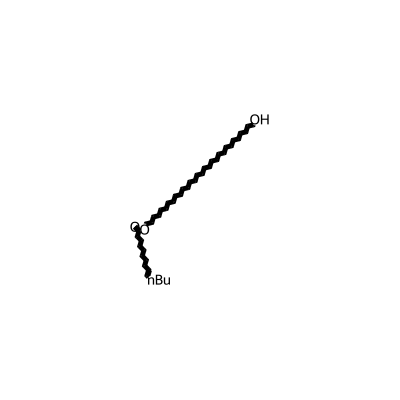 CCCCC=CCCCCCCCC(=O)OCCCCCCCCCCCCCCCCCCCCCCCCCCCCCCO